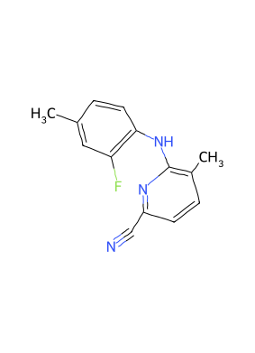 Cc1ccc(Nc2nc(C#N)ccc2C)c(F)c1